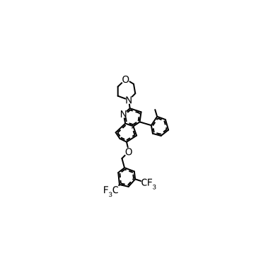 Cc1ccccc1-c1cc(N2CCOCC2)nc2ccc(OCc3cc(C(F)(F)F)cc(C(F)(F)F)c3)cc12